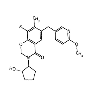 COc1ccc(Cc2cc3c(c(F)c2C)OCN([C@H]2CCC[C@@H]2O)C3=O)cn1